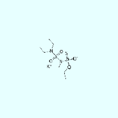 CCOP([O-])(=S)N(C)S(=O)(=O)N(CC)CC.[K+]